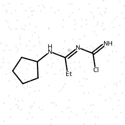 CC/C(=N\C(=N)Cl)NC1CCCC1